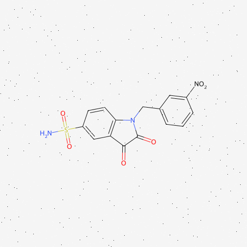 NS(=O)(=O)c1ccc2c(c1)C(=O)C(=O)N2Cc1cccc([N+](=O)[O-])c1